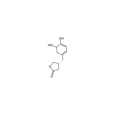 O=C1C[C@@H](CC2=CC=C(O)C(O)C2)CO1